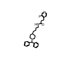 O=C(CCc1ccncc1F)NCCCCC1CCN(C(c2ccccc2)c2ccccc2)CC1